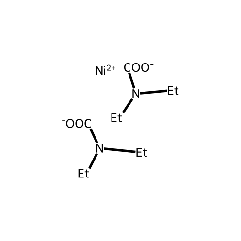 CCN(CC)C(=O)[O-].CCN(CC)C(=O)[O-].[Ni+2]